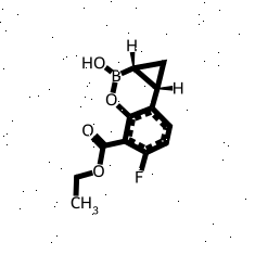 CCOC(=O)c1c(F)ccc2c1OB(O)[C@@H]1C[C@H]21